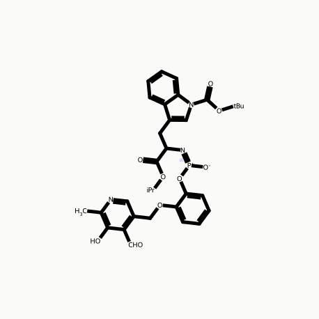 Cc1ncc(COc2ccccc2O/[P+]([O-])=N\C(Cc2cn(C(=O)OC(C)(C)C)c3ccccc23)C(=O)OC(C)C)c(C=O)c1O